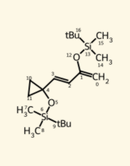 C=C(C=CC1(O[Si](C)(C)C(C)(C)C)CC1)O[Si](C)(C)C(C)(C)C